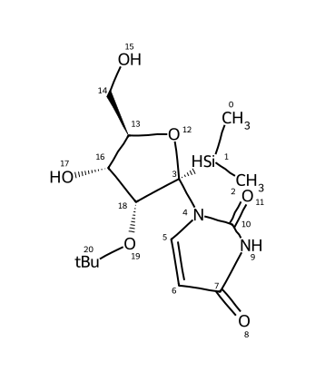 C[SiH](C)[C@@]1(n2ccc(=O)[nH]c2=O)O[C@H](CO)[C@@H](O)[C@H]1OC(C)(C)C